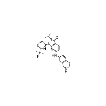 CC(C)n1c(=O)c2ccc(Nc3ccc4c(c3)CNCC4)nc2n1-c1ccnc(C(C)(C)F)n1